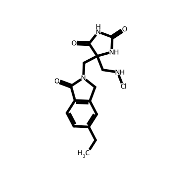 CCc1ccc2c(c1)CN(CC1(CNCl)NC(=O)NC1=O)C2=O